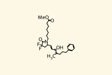 COC(=O)CCCCCCN1C(=O)C(F)(F)CC1C=C[C@@H](O)[C@H](C)CCCc1ccccc1